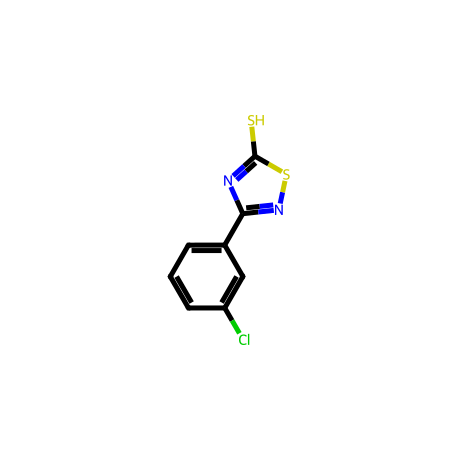 Sc1nc(-c2cccc(Cl)c2)ns1